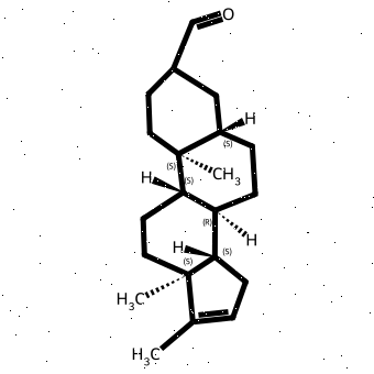 CC1=CC[C@H]2[C@@H]3CC[C@H]4CC(C=O)CC[C@]4(C)[C@H]3CC[C@]12C